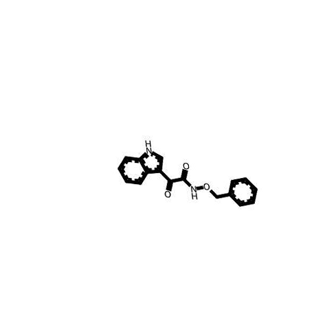 O=C(NOCc1ccccc1)C(=O)c1c[nH]c2ccccc12